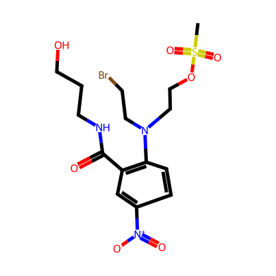 CS(=O)(=O)OCCN(CCBr)c1ccc([N+](=O)[O-])cc1C(=O)NCCCO